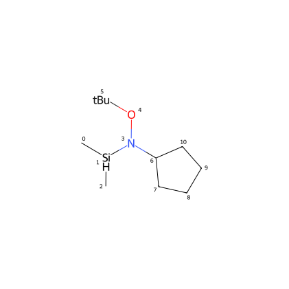 C[SiH](C)N(OC(C)(C)C)C1CCCC1